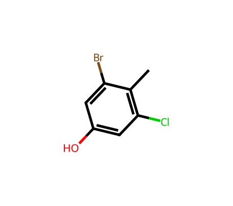 Cc1c(Cl)cc(O)cc1Br